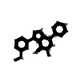 COc1cccc(-c2csc3c(-c4ccncc4)nn(C)c(=O)c23)c1